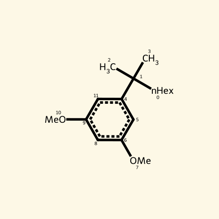 CCCCCCC(C)(C)c1cc(OC)cc(OC)c1